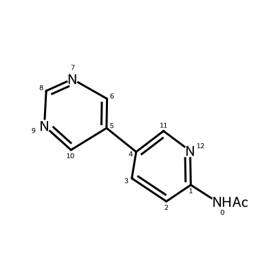 CC(=O)Nc1ccc(-c2cncnc2)cn1